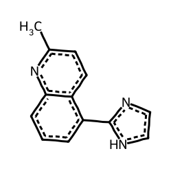 Cc1ccc2c(-c3ncc[nH]3)cccc2n1